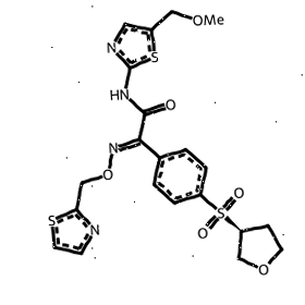 COCc1cnc(NC(=O)/C(=N/OCc2nccs2)c2ccc(S(=O)(=O)[C@H]3CCOC3)cc2)s1